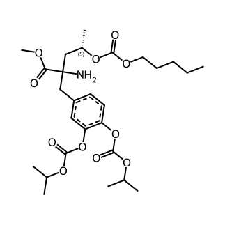 CCCCCOC(=O)O[C@@H](C)CC(N)(Cc1ccc(OC(=O)OC(C)C)c(OC(=O)OC(C)C)c1)C(=O)OC